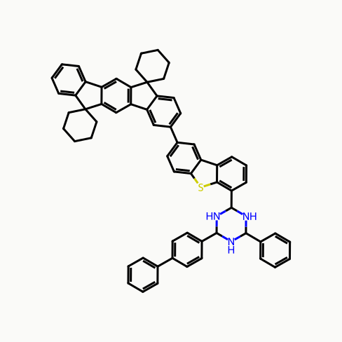 c1ccc(-c2ccc(C3NC(c4ccccc4)NC(c4cccc5c4sc4ccc(-c6ccc7c(c6)-c6cc8c(cc6C76CCCCC6)-c6ccccc6C86CCCCC6)cc45)N3)cc2)cc1